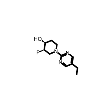 CCc1cnc(N2CC[C@H](O)[C@H](F)C2)nc1